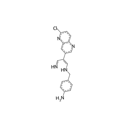 N=C/C(=C\NCc1ccc(N)cc1)c1cnc2ccc(Cl)nc2c1